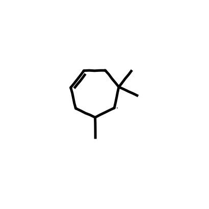 CC1[CH]C(C)(C)CC=CC1